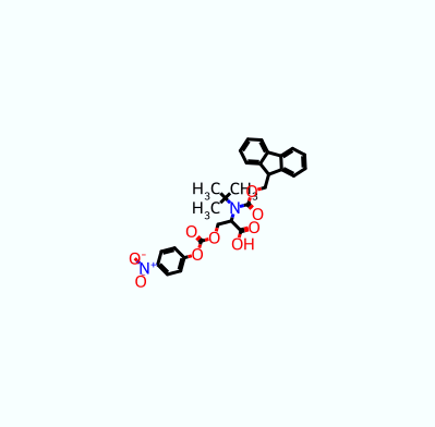 CC(C)(C)N(C(=O)OCC1c2ccccc2-c2ccccc21)C(COC(=O)Oc1ccc([N+](=O)[O-])cc1)C(=O)O